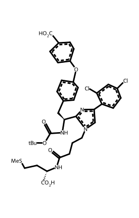 CSCC[C@H](NC(=O)CCCn1cc(-c2ccc(Cl)cc2Cl)nc1[C@H](Cc1ccc(Oc2ccc(C(=O)O)cc2)cc1)NC(=O)OC(C)(C)C)C(=O)O